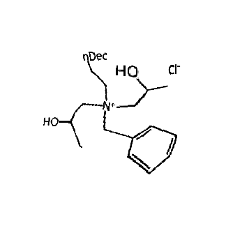 CCCCCCCCCCCC[N+](Cc1ccccc1)(CC(C)O)CC(C)O.[Cl-]